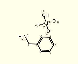 NCc1ccccc1.[O-][Cl+3]([O-])([O-])O